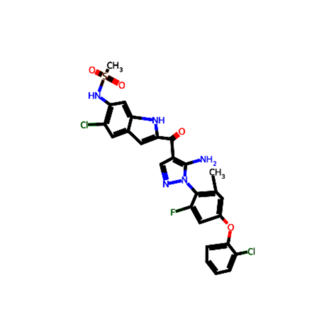 Cc1cc(Oc2ccccc2Cl)cc(F)c1-n1ncc(C(=O)c2cc3cc(Cl)c(NS(C)(=O)=O)cc3[nH]2)c1N